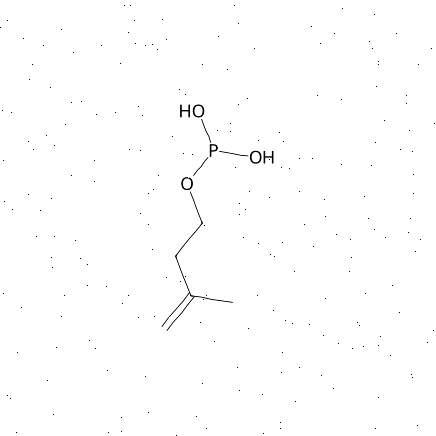 C=C(C)CCOP(O)O